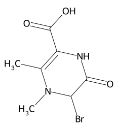 CC1=C(C(=O)O)NC(=O)C(Br)N1C